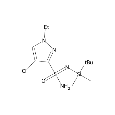 CCn1cc(Cl)c(S(N)(=O)=N[Si](C)(C)C(C)(C)C)n1